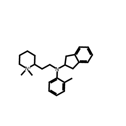 Cc1ccccc1N(CCC1CCCC[N+]1(C)C)C1Cc2ccccc2C1